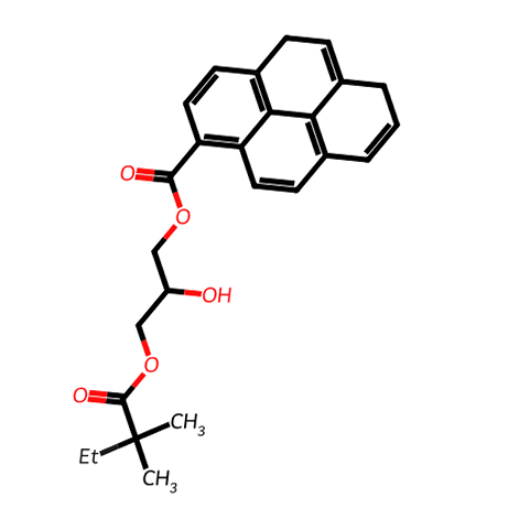 CCC(C)(C)C(=O)OCC(O)COC(=O)c1ccc2c3c4c(ccc13)C=CCC4=CC2